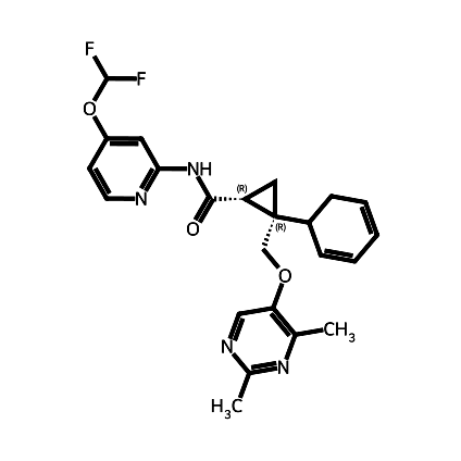 Cc1ncc(OC[C@@]2(C3C=CC=CC3)C[C@H]2C(=O)Nc2cc(OC(F)F)ccn2)c(C)n1